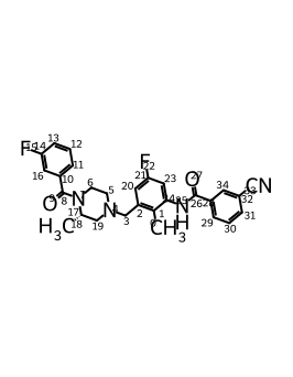 Cc1c(CN2CCN(C(=O)c3cccc(F)c3)[C@@H](C)C2)cc(F)cc1NC(=O)c1cccc(C#N)c1